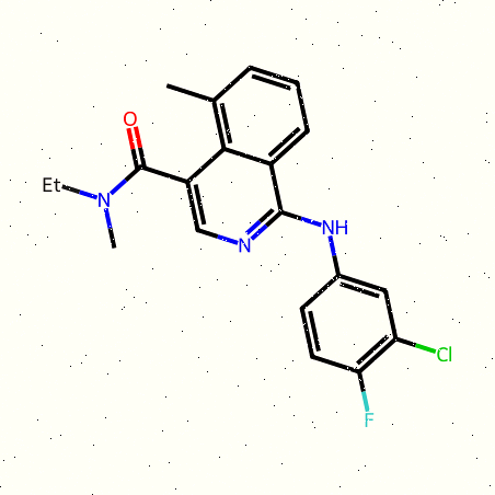 CCN(C)C(=O)c1cnc(Nc2ccc(F)c(Cl)c2)c2cccc(C)c12